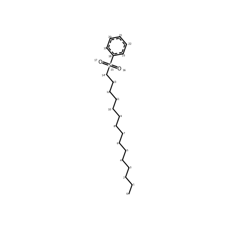 CCCCCCCCCCCCCC[CH]S(=O)(=O)c1ccccc1